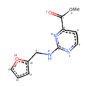 COC(=O)c1ccnc(NCc2ccco2)n1